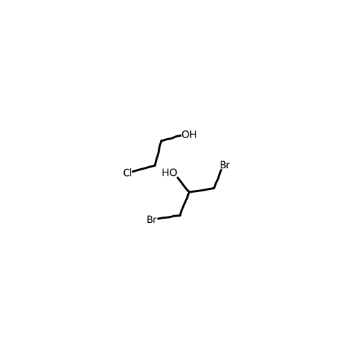 OC(CBr)CBr.OCCCl